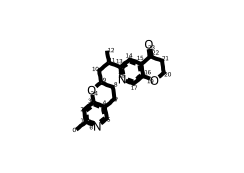 Cc1cc2c(cn1)CCC(CC(C)c1cc3c(cn1)OCCC3=O)O2